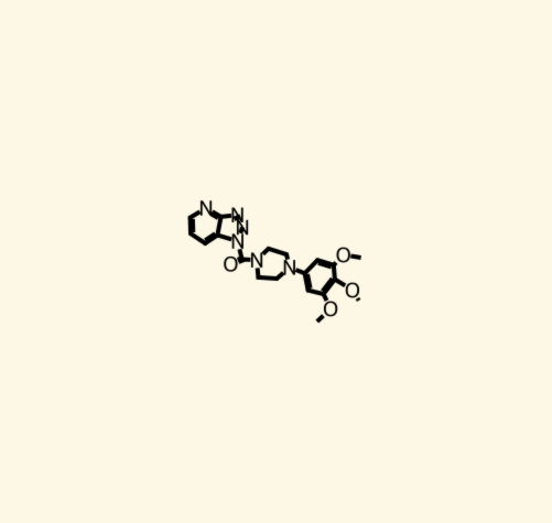 COc1cc(N2CCN(C(=O)n3nnc4ncccc43)CC2)cc(OC)c1OC